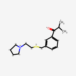 CC(C)C(=O)c1cccc(CSCCN2CCCC2)c1